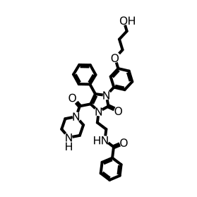 O=C(NCCn1c(C(=O)N2CCNCC2)c(-c2ccccc2)n(-c2cccc(OCCCO)c2)c1=O)c1ccccc1